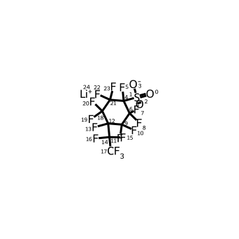 O=S(=O)([O-])C1(F)C(F)(F)C(F)(F)C(F)(C(F)(F)C(F)(F)F)C(F)(F)C1(F)F.[Li+]